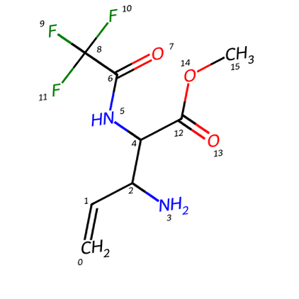 C=CC(N)C(NC(=O)C(F)(F)F)C(=O)OC